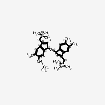 Cc1cc2c(cc1C)[CH]([Zr+2][CH]1C=C(C[Si](C)(C)C)c3cc(C)c(C)cc31)C=C2C[Si](C)(C)C.[Cl-].[Cl-]